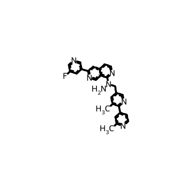 Cc1cc(-c2ncc(CN(N)c3nccc4cc(-c5cncc(F)c5)ncc34)cc2C)ccn1